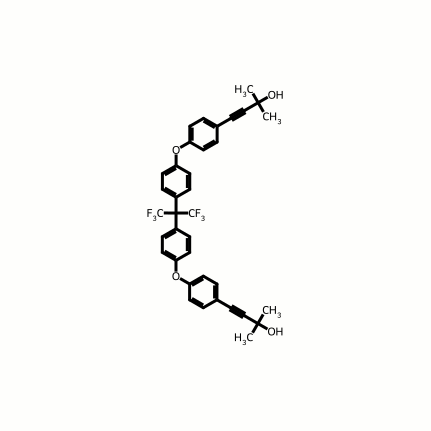 CC(C)(O)C#Cc1ccc(Oc2ccc(C(c3ccc(Oc4ccc(C#CC(C)(C)O)cc4)cc3)(C(F)(F)F)C(F)(F)F)cc2)cc1